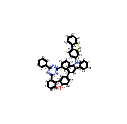 c1ccc(-c2nc(-c3ccccc3)nc(-c3cccc4oc5ccc(-c6ccc7c(c6)c6ccccc6n7-c6ccc7c(c6)sc6ccccc67)cc5c34)n2)cc1